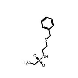 CCS(=O)(=O)NCCSCc1ccccc1